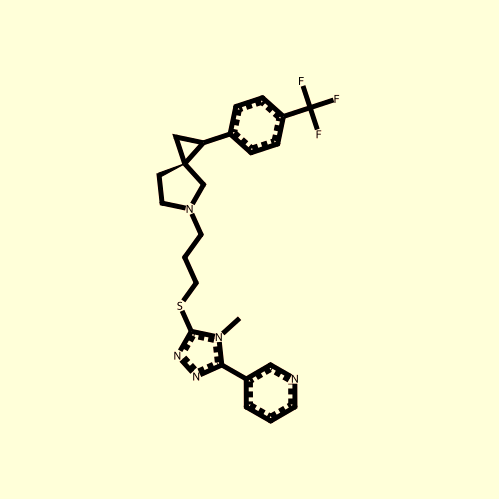 Cn1c(SCCCN2CC[C@]3(CC3c3ccc(C(F)(F)F)cc3)C2)nnc1-c1cccnc1